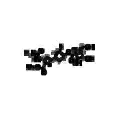 COC(=O)c1sc(-c2ccc(OC(O)C3(O)C(O)C(O)C3CO)c(F)c2)cc1NC(N)=O